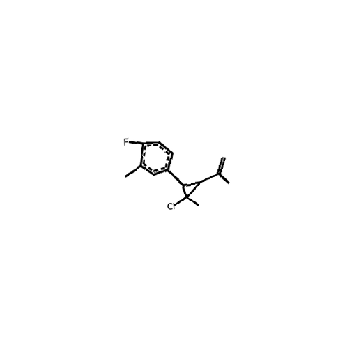 C=C(C)C1C(c2ccc(F)c(C)c2)C1(C)Cl